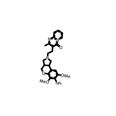 CCCc1c(OC)cc2c(c1OC)OCC1CN(CCc3c(C)nc4ccccn4c3=O)CC21